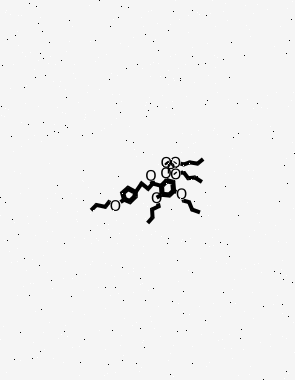 CCCCOc1ccc(CCC(=O)c2c(OCCCC)cc(OCCCC)cc2OP(=O)(OCCCC)OCCCC)cc1